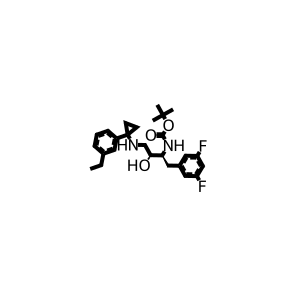 CCc1cccc(C2(NC[C@@H](O)[C@H](Cc3cc(F)cc(F)c3)NC(=O)OC(C)(C)C)CC2)c1